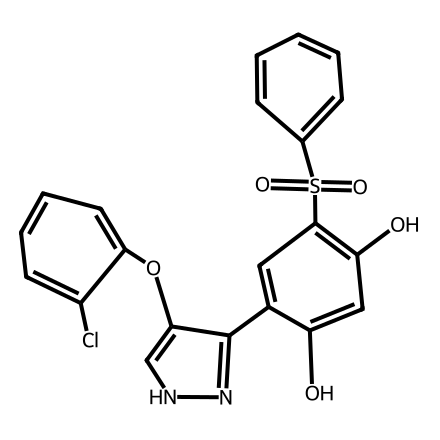 O=S(=O)(c1ccccc1)c1cc(-c2n[nH]cc2Oc2ccccc2Cl)c(O)cc1O